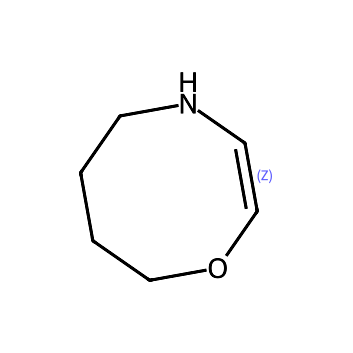 C1=C\OCCCCN/1